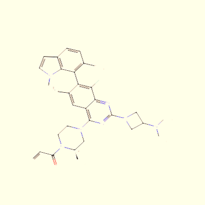 C=CC(=O)N1CCN(c2nc(N3CC(N(C)C)C3)nc3c(F)c(-c4c(C)ccc5ccn(C)c45)c(C)cc23)C[C@H]1C